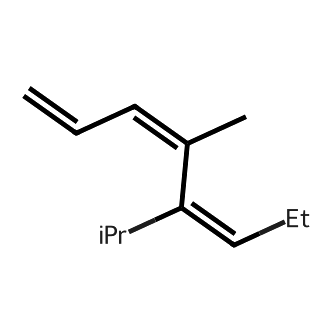 C=C/C=C(C)\C(=C/CC)C(C)C